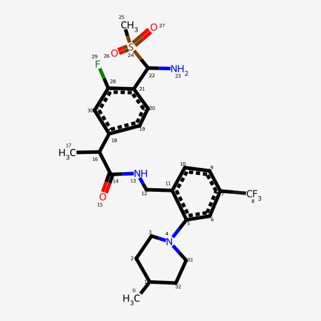 CC1CCN(c2cc(C(F)(F)F)ccc2CNC(=O)C(C)c2ccc(C(N)S(C)(=O)=O)c(F)c2)CC1